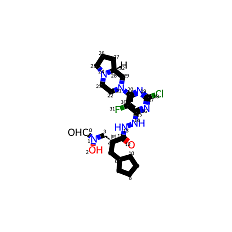 O=CN(O)C[C@@H](CC1CCCC1)C(=O)NNc1nc(Cl)nc(N2CCN3CCC[C@H]3C2)c1F